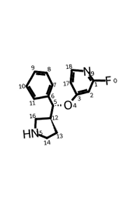 Fc1cc(O[C@@H](c2ccccc2)[C@H]2CCNC2)ccn1